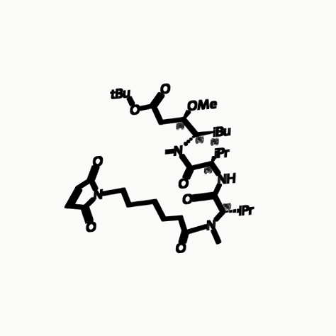 CC[C@H](C)[C@@H]([C@@H](CC(=O)OC(C)(C)C)OC)N(C)C(=O)[C@@H](NC(=O)[C@H](C(C)C)N(C)C(=O)CCCCCN1C(=O)C=CC1=O)C(C)C